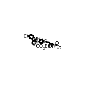 CCOC(=O)N1CCC2=C(NC3C=CC(Cl)=CC23)[C@@H]1c1ccc(OCCC(O)CNC(=O)CC)cc1